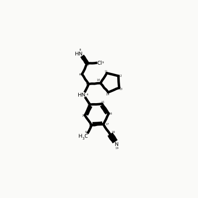 Cc1cc(NC(CC(=N)Cl)C2CCCC2)ccc1C#N